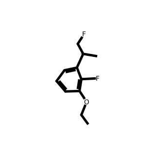 CCOc1cccc([C](C)CF)c1F